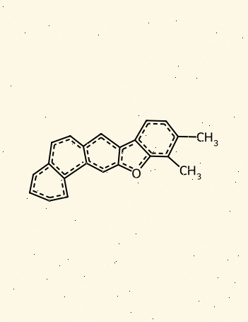 Cc1ccc2c(oc3cc4c(ccc5ccccc54)cc32)c1C